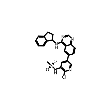 CS(=O)(=O)Nc1cc(-c2ccc3ncnc(NC4CCc5ccccc54)c3c2)cnc1Cl